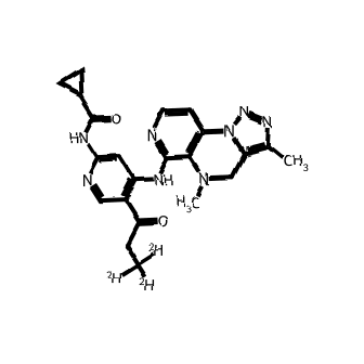 [2H]C([2H])([2H])CC(=O)c1cnc(NC(=O)C2CC2)cc1Nc1nccc2c1N(C)Cc1c(C)nnn1-2